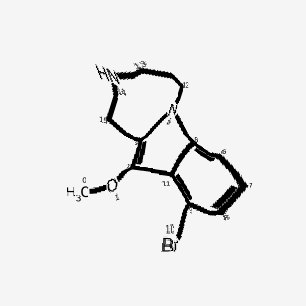 COc1c2n(c3cccc(Br)c13)CCNC2